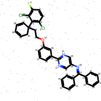 Fc1ccc(Cl)c(C2(CCOc3cccc(-c4ncc(N=C(c5ccccc5)c5ccccc5)cn4)c3)C=CC=CC2)c1Cl